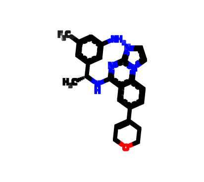 C[C@@H](Nc1nc2nccn2c2ccc(C3=CCOCC3)cc12)c1cc(N)cc(C(F)(F)F)c1